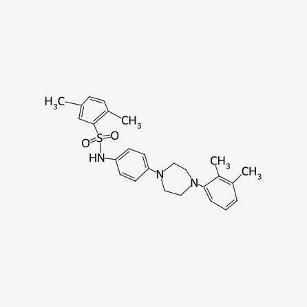 Cc1ccc(C)c(S(=O)(=O)Nc2ccc(N3CCN(c4cccc(C)c4C)CC3)cc2)c1